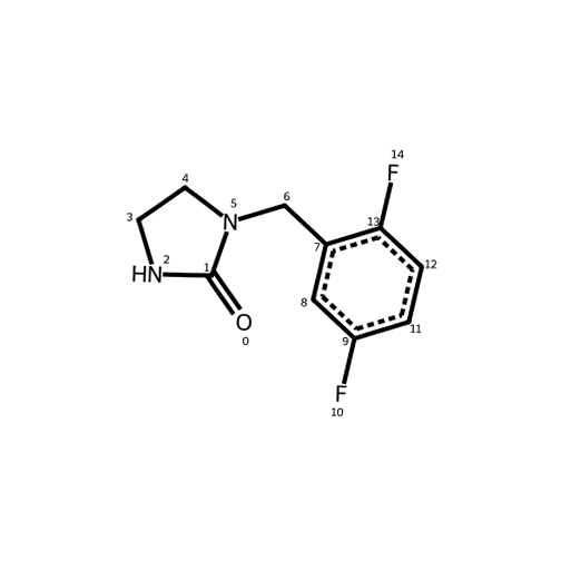 O=C1NCCN1Cc1cc(F)ccc1F